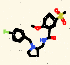 COc1ccc(S(C)(=O)=O)cc1C(=O)NCC1CCCN1Cc1ccc(F)cc1